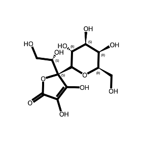 O=C1O[C@](C2O[C@H](CO)[C@H](O)[C@H](O)[C@H]2O)([C@@H](O)CO)C(O)=C1O